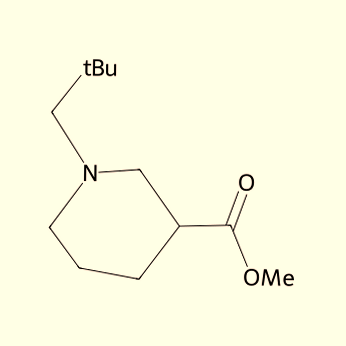 COC(=O)C1CCCN(CC(C)(C)C)C1